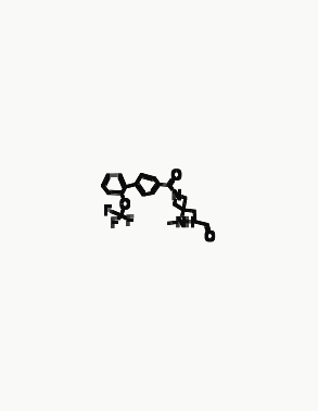 CNC1(CCC=O)CN(C(=O)c2ccc(-c3ccccc3OC(F)(F)F)cc2)C1